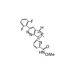 CONC(=O)c1cccc([C@]23CC[C@@H](c4cc(-c5c(F)cccc5F)nnc42)C3(C)C)n1